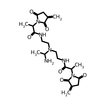 C=C1CC(=O)N(C(C)C(=O)NCCN(CCNC(=O)C(C)N2C(=O)CC(=C)C2=O)C(C)N)C1=O